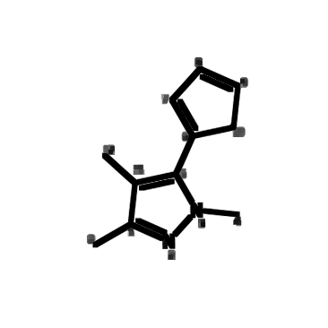 Cc1nn(C)c(C2=CC=CC2)c1C